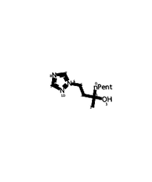 CCCCCC(C)(O)CCn1cncn1